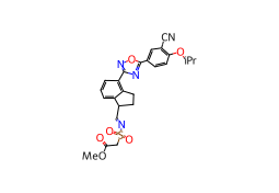 COC(=O)CS(=O)(=O)N=CC1CCc2c(-c3noc(-c4ccc(OC(C)C)c(C#N)c4)n3)cccc21